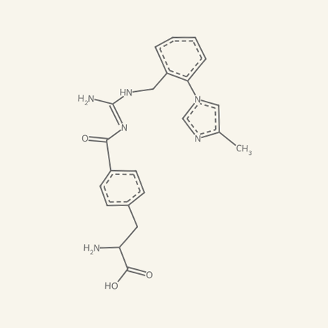 Cc1cn(-c2ccccc2CNC(N)=NC(=O)c2ccc(CC(N)C(=O)O)cc2)cn1